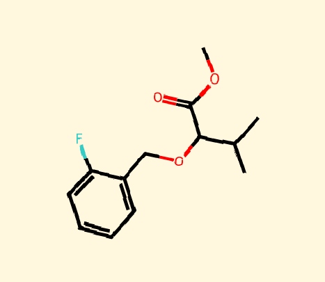 COC(=O)C(OCc1ccccc1F)C(C)C